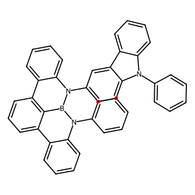 c1ccc(N2B3c4c(cccc4-c4ccccc4N3c3ccc4c(c3)c3ccccc3n4-c3ccccc3)-c3ccccc32)cc1